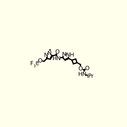 CC(C)NC(=O)OCC1CC(c2cc(NC(=O)c3cc(COC(F)(F)F)nn3C)n[nH]2)C1